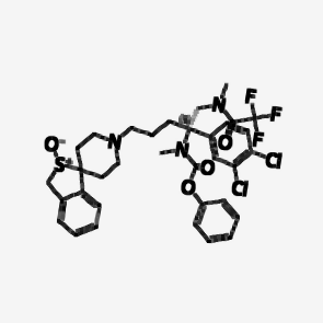 CN(C[C@](CCCN1CCC2(CC1)c1ccccc1C[S+]2[O-])(c1ccc(Cl)c(Cl)c1)N(C)C(=O)Oc1ccccc1)C(=O)C(F)(F)F